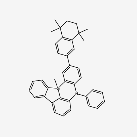 CC1(C)CCC(C)(C)c2cc(-c3ccc4c(c3)[Si]3(C)c5ccccc5-c5cccc(c53)N4c3ccccc3)ccc21